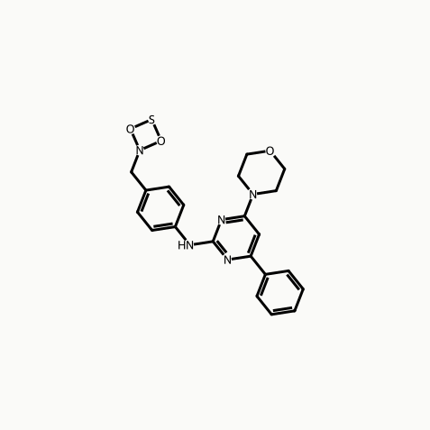 c1ccc(-c2cc(N3CCOCC3)nc(Nc3ccc(CN4OSO4)cc3)n2)cc1